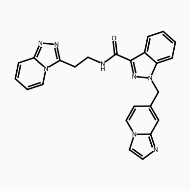 O=C(NCCc1nnc2ccccn12)c1nn(Cc2ccn3ccnc3c2)c2ccccc12